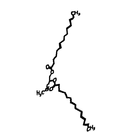 CCCCCCCCCCCCCCC(=O)OCC(COC)OC(=O)CCCCCCCCCCCCCC